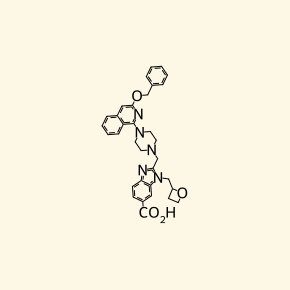 O=C(O)c1ccc2nc(CN3CCN(c4nc(OCc5ccccc5)cc5ccccc45)CC3)n(CC3CCO3)c2c1